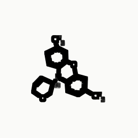 FC(F)(F)c1ccc2c(c1)Oc1cc(C(F)(F)F)ccc1N2[C@@H]1C=CCOC1